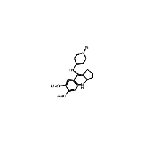 CCN1CCC(NC2=C3CCCC3Nc3cc(OC)c(OC)cc32)CC1